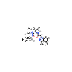 CO[C@H]1[C@@H](C(=O)N[C@H]2CCCC(C)(C)C2)N(C(=O)Cn2nc(C(=O)O)c3ccccc32)C[C@@H]1F